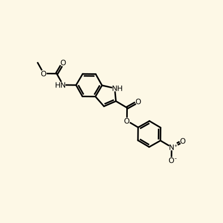 COC(=O)Nc1ccc2[nH]c(C(=O)Oc3ccc([N+](=O)[O-])cc3)cc2c1